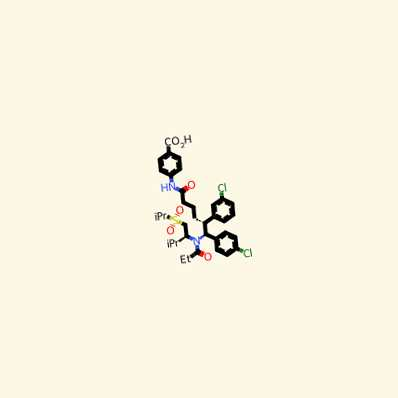 CCC(=O)N([C@H](CS(=O)(=O)C(C)C)C(C)C)[C@H](c1ccc(Cl)cc1)[C@H](CCCC(=O)Nc1ccc(C(=O)O)cc1)c1cccc(Cl)c1